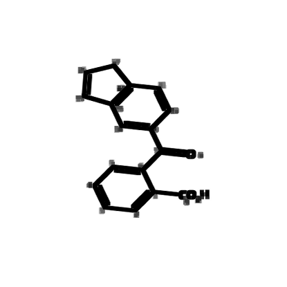 O=C(O)c1ccccc1C(=O)c1ccc2c(c1)C=CC2